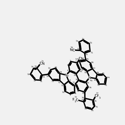 N#Cc1ccc(-n2c3ccccc3c3cc(-c4ccccc4C#N)ccc32)c(-c2ccc(-c3c(C(F)(F)F)cccc3C(F)(F)F)cc2-n2c3ccccc3c3cc(-c4ccccc4C#N)ccc32)c1